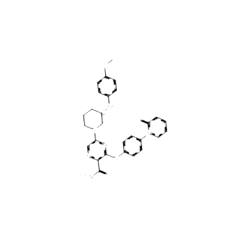 COc1ccc(N[C@@H]2CCCN(c3cnc(C(N)=O)c(Nc4ccc(-n5ccccc5=O)cc4)n3)C2)cc1